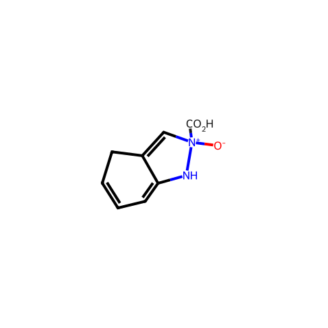 O=C(O)[N+]1([O-])C=C2CC=CC=C2N1